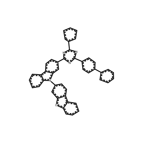 c1ccc(-c2ccc(-c3nc(-c4ccccc4)nc(-c4ccc5c6ccccc6n(-c6ccc7c(c6)oc6ccccc67)c5c4)n3)cc2)cc1